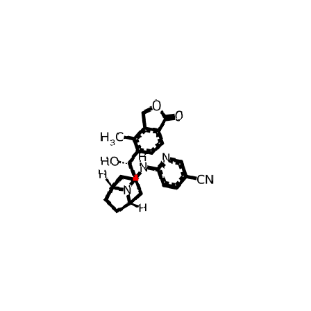 Cc1c([C@@H](O)CN2[C@@H]3CC[C@H]2CC(Nc2ccc(C#N)cn2)C3)ccc2c1COC2=O